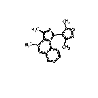 Cc1noc(C)c1-c1nc(C)c2c(C)nc3ccccc3n12